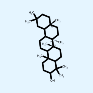 CC1(C)CC[C@]2(C)CC[C@]3(C)C(CCC4C5(C)CCC(O)C(C)(C)C5CC[C@]43C)C2C1